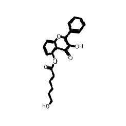 O=C(CCCCCO)Oc1cccc2oc(-c3ccccc3)c(O)c(=O)c12